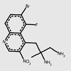 CC(N)(CN)Cc1c([N+](=O)[O-])cnc2ccc(Br)c(F)c12